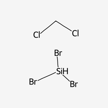 Br[SiH](Br)Br.ClCCl